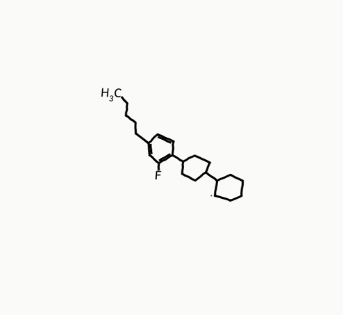 CCCCCc1ccc(C2CCC(C3[CH]CCCC3)CC2)c(F)c1